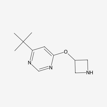 CC(C)(C)c1cc(OC2CNC2)ncn1